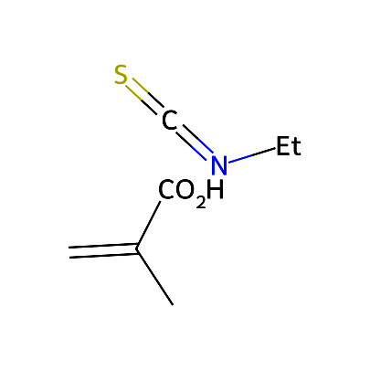 C=C(C)C(=O)O.CCN=C=S